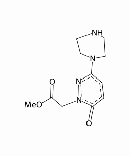 COC(=O)Cn1nc(N2CCNCC2)ccc1=O